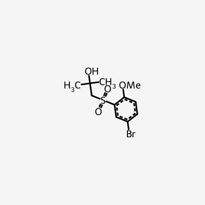 COc1ccc(Br)cc1S(=O)(=O)CC(C)(C)O